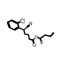 CCCC(F)OC(=O)CCCC(C#N)c1ccccc1Cl